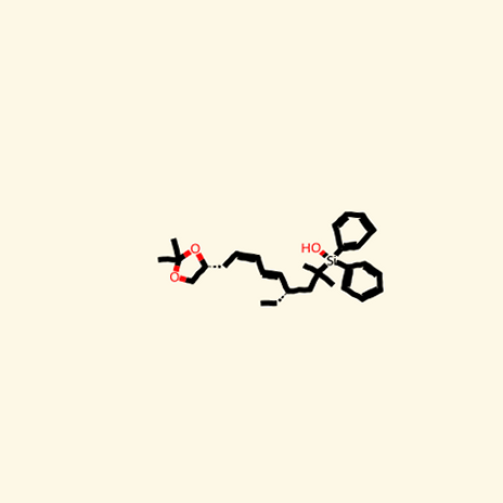 CC[C@H](/C=C/C=C\C[C@@H]1COC(C)(C)O1)CC(C)(C)[Si](O)(c1ccccc1)c1ccccc1